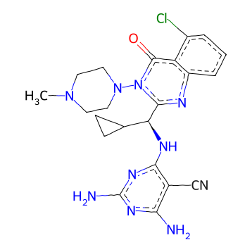 CN1CCN(n2c([C@@H](Nc3nc(N)nc(N)c3C#N)C3CC3)nc3cccc(Cl)c3c2=O)CC1